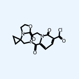 O=C(Cl)c1ccc2n(c1=O)CCN(CC1(N3CCOC3=O)CC1)C2=O